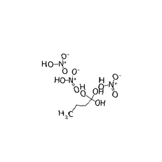 CCCC(O)(O)O.O=[N+]([O-])O.O=[N+]([O-])O.O=[N+]([O-])O